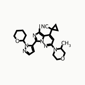 CC1COCCN1c1cc(C2(C#N)CC2)c2c(I)nc(-c3ccnn3C3CCCCO3)n2n1